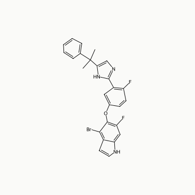 CC(C)(c1ccccc1)c1cnc(-c2cc(Oc3c(F)cc4[nH]ccc4c3Br)ccc2F)[nH]1